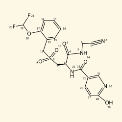 N#CCNC(=O)[C@H](CS(=O)(=O)Cc1ccccc1OC(F)F)NC(=O)c1ccc(O)nc1